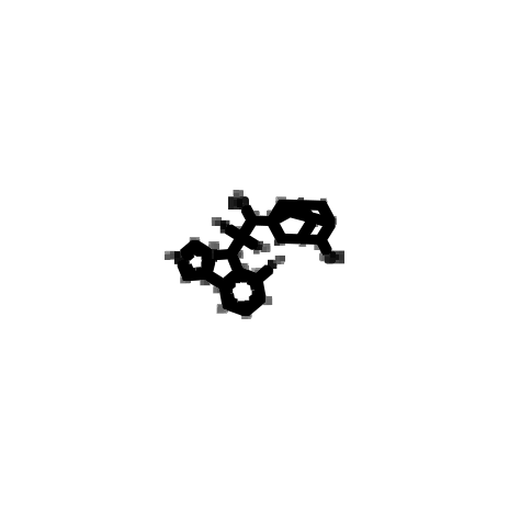 OC1C2CC3CC1CC(C(O)C(F)(F)C1c4c(F)cccc4-c4cncn41)(C3)C2